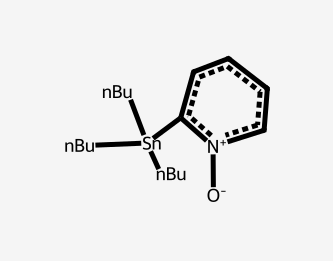 CCC[CH2][Sn]([CH2]CCC)([CH2]CCC)[c]1cccc[n+]1[O-]